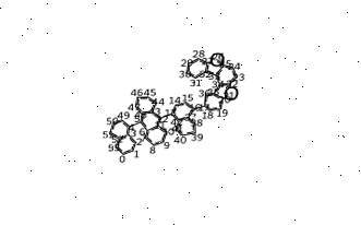 c1ccc2c(-c3c4ccccc4c(-c4ccc(-c5ccc6oc7ccc8oc9ccccc9c8c7c6c5)c5ccccc45)c4ccccc34)cccc2c1